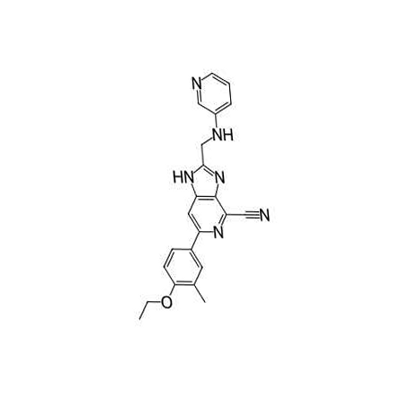 CCOc1ccc(-c2cc3[nH]c(CNc4cccnc4)nc3c(C#N)n2)cc1C